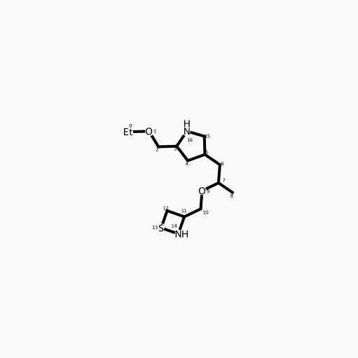 CCOCC1CC(CC(C)OCC2CSN2)CN1